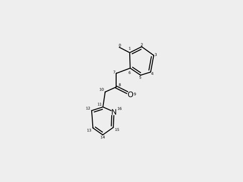 Cc1ccccc1CC(=O)Cc1ccccn1